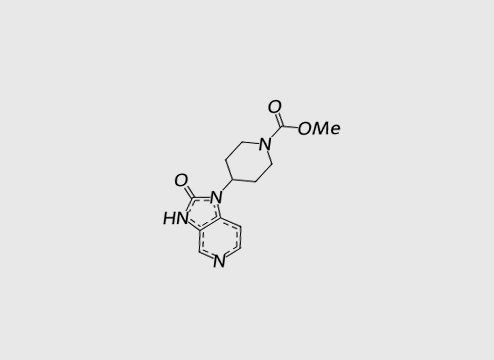 COC(=O)N1CCC(n2c(=O)[nH]c3cnccc32)CC1